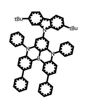 CC(C)(C)c1ccc2c3ccc(C(C)(C)C)cc3n(-c3cc4c5c(c3)N(c3ccccc3)c3ccc(-c6ccccc6)cc3B5c3cc(-c5ccccc5)ccc3N4c3ccccc3)c2c1